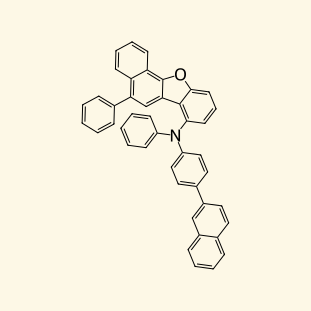 c1ccc(-c2cc3c(oc4cccc(N(c5ccccc5)c5ccc(-c6ccc7ccccc7c6)cc5)c43)c3ccccc23)cc1